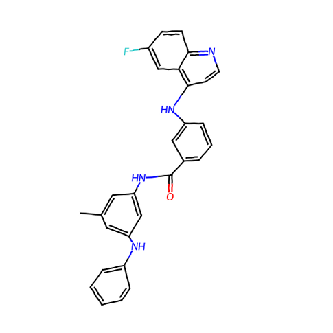 Cc1cc(NC(=O)c2cccc(Nc3ccnc4ccc(F)cc34)c2)cc(Nc2ccccc2)c1